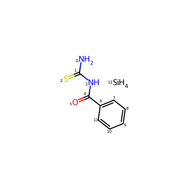 NC(=S)NC(=O)c1ccccc1.[SiH4]